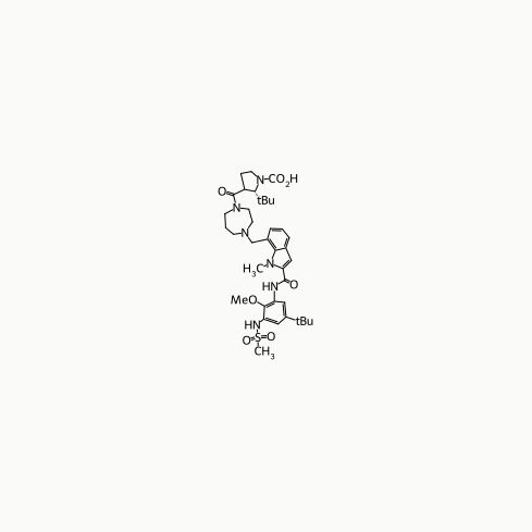 COc1c(NC(=O)c2cc3cccc(CN4CCCN(C(=O)C5CCN(C(=O)O)[C@@H]5C(C)(C)C)CC4)c3n2C)cc(C(C)(C)C)cc1NS(C)(=O)=O